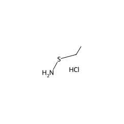 CCSN.Cl